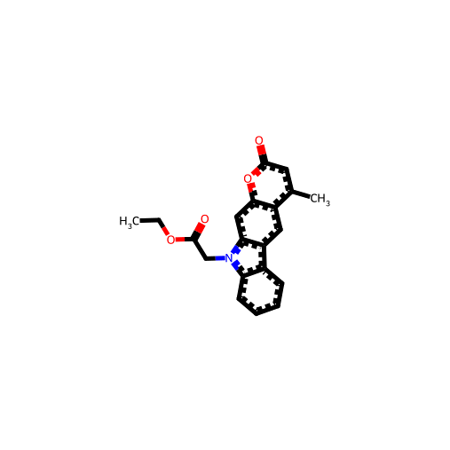 CCOC(=O)Cn1c2ccccc2c2cc3c(C)cc(=O)oc3cc21